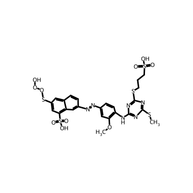 COc1cc(/N=N/c2ccc3cc(SOOO)cc(S(=O)(=O)O)c3c2)ccc1Nc1nc(SC)nc(SCCCS(=O)(=O)O)n1